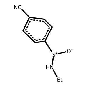 CCN[S+]([O-])c1ccc(C#N)cc1